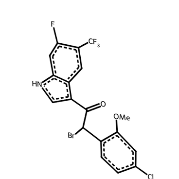 COc1cc(Cl)ccc1C(Br)C(=O)c1c[nH]c2cc(F)c(C(F)(F)F)cc12